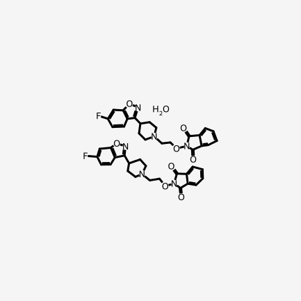 O.O=C1c2ccccc2C(=O)N1OCCN1CCC(c2noc3cc(F)ccc23)CC1.O=C1c2ccccc2C(=O)N1OCCN1CCC(c2noc3cc(F)ccc23)CC1